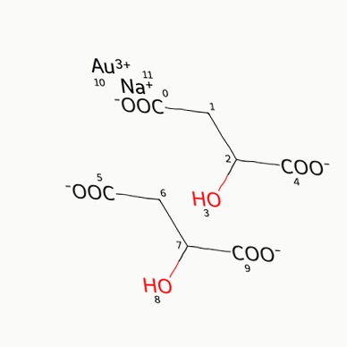 O=C([O-])CC(O)C(=O)[O-].O=C([O-])CC(O)C(=O)[O-].[Au+3].[Na+]